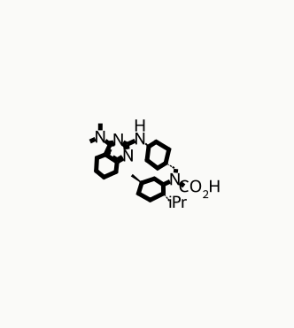 CC(C)[C@@H]1CC[C@@H](C)CC1N(C[C@H]1CC[C@@H](Nc2nc3c(c(N(C)C)n2)CCCC3)CC1)C(=O)O